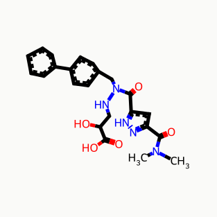 CN(C)C(=O)c1cc(C(=O)N(Cc2ccc(-c3ccccc3)cc2)NCC(O)C(=O)O)[nH]n1